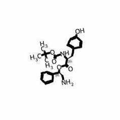 CC(C)(C)OC(=O)N[C@@H](Cc1ccc(O)cc1)C(=O)O[C@@H](CN)c1ccccc1